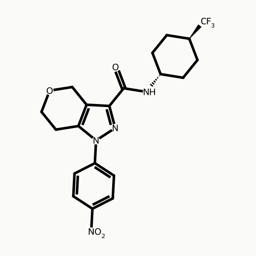 O=C(N[C@H]1CC[C@H](C(F)(F)F)CC1)c1nn(-c2ccc([N+](=O)[O-])cc2)c2c1COCC2